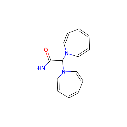 [NH]C(=O)C(N1C=CC=CC=C1)N1C=CC=CC=C1